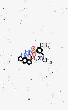 Cc1cc(CN(C)C)cc(S(=O)(=O)NC(=O)Nc2c3c(cc4c2CCC4)CCC3)c1